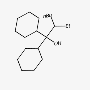 CCCCC(CC)C(O)(C1CCCCC1)C1CCCCC1